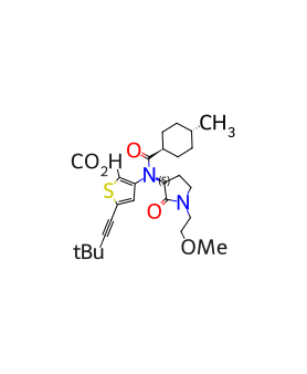 COCCN1CC[C@H](N(c2cc(C#CC(C)(C)C)sc2C(=O)O)C(=O)[C@H]2CC[C@H](C)CC2)C1=O